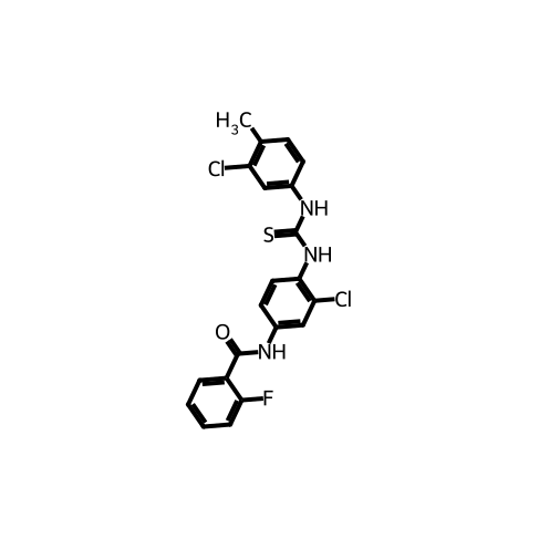 Cc1ccc(NC(=S)Nc2ccc(NC(=O)c3ccccc3F)cc2Cl)cc1Cl